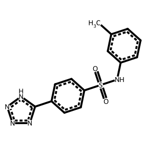 Cc1cccc(NS(=O)(=O)c2ccc(-c3nnn[nH]3)cc2)c1